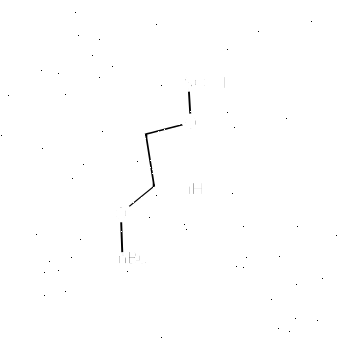 CCCCOCCOS(=O)(=O)O.[LiH]